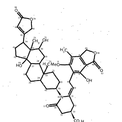 COc1c(C)c2c(c(O)c1C/C=C1/C[C@@H](C(=O)O)CC(=O)N1[C@@H]1CCC3(C)C(CCC4C3CC(O)C3(C)C(C5=CC(=O)OC5)CCC43O)C1)C(=O)OC2